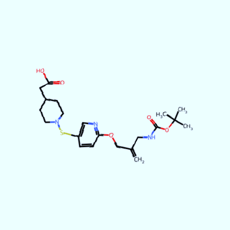 C=C(CNC(=O)OC(C)(C)C)COc1ccc(SN2CCC(CC(=O)O)CC2)cn1